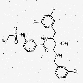 CCc1cccc(CNC[C@@H](O)[C@H](Cc2cc(F)cc(F)c2)NC(=O)c2cccc(NS(=O)(=O)CC(C)C)c2)c1